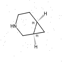 C1C[C@H]2C[C@H]2CN1